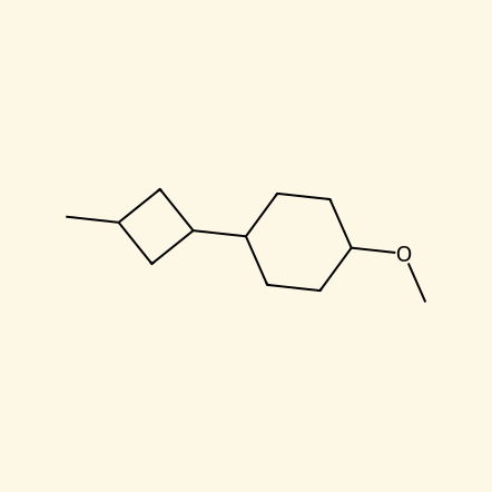 COC1CCC(C2CC(C)C2)CC1